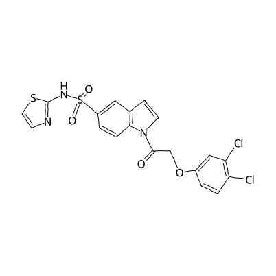 O=C(COc1ccc(Cl)c(Cl)c1)n1ccc2cc(S(=O)(=O)Nc3nccs3)ccc21